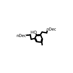 CCCCCCCCCCCCc1cc(C)cc(CCCCCCCCCCCC)c1O